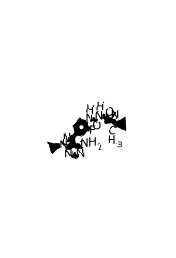 CC1(c2cc(NC(=O)Nc3ccc(-c4nn(C5CC5)c5ncnc(N)c45)cc3F)on2)CC1